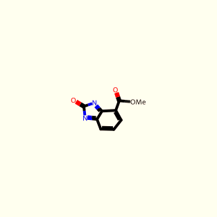 COC(=O)c1cccc2c1=NC(=O)N=2